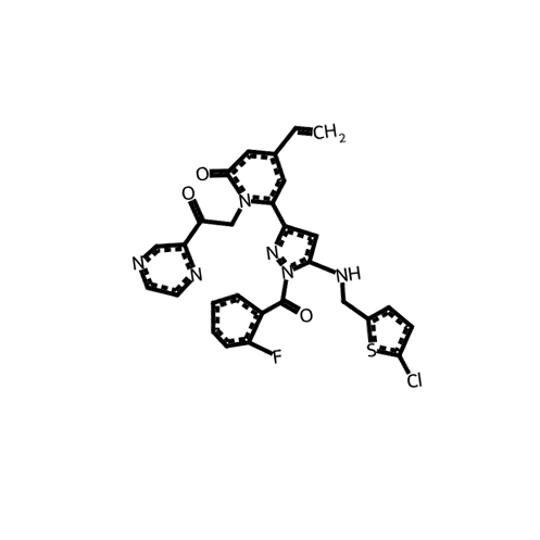 C=Cc1cc(-c2cc(NCc3ccc(Cl)s3)n(C(=O)c3ccccc3F)n2)n(CC(=O)c2cnccn2)c(=O)c1